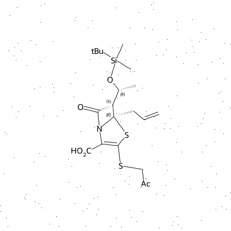 C=CC[C@]12SC(SCC(C)=O)=C(C(=O)O)N1C(=O)[C@@H]2[C@@H](C)O[Si](C)(C)C(C)(C)C